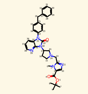 Cn1c(C(=O)OC(C)(C)C)cnc1CN1CCC(n2c(=O)n(-c3ccc(Cc4ccccc4)cc3)c3cccnc32)C1